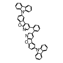 c1ccc(-c2cnc3oc4ccc(-n5c6ccccc6c6ccccc65)cc4c3c2)c(-c2cnc3oc4ccc(-n5c6ccccc6c6ccccc65)cc4c3c2)c1